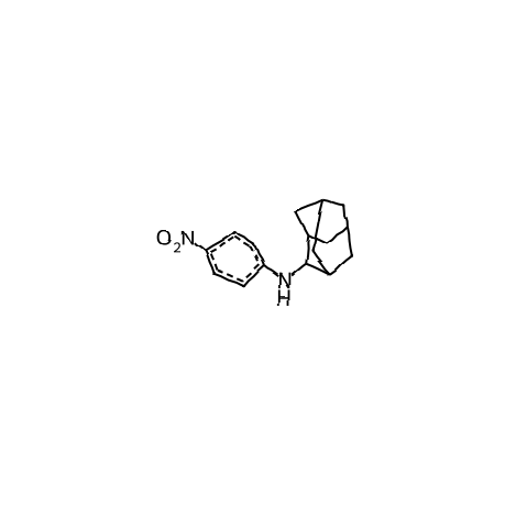 O=[N+]([O-])c1ccc(NC2C3CC4CC(C3)CC2C4)cc1